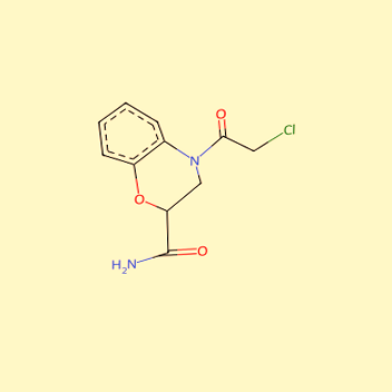 NC(=O)C1CN(C(=O)CCl)c2ccccc2O1